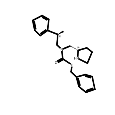 C[C@@H](CN(C[C@@H]1CCCN1)C(=O)OCc1ccccc1)c1ccccc1